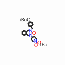 CC(C)COc1ccc(CN2Cc3ccccc3CN(C3CCN(C(=O)OC(C)(C)C)CC3)C2=O)cc1